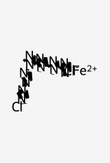 Cn1ccnc1.Cn1ccnc1.Cn1ccnc1.Cn1ccnc1.Cn1ccnc1.Cn1ccnc1.[Cl-].[Cl-].[Fe+2]